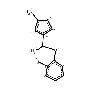 CC(Oc1ccccc1Cl)c1csc(N)n1